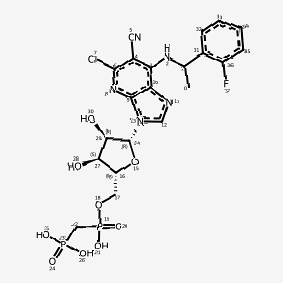 CC(Nc1c(C#N)c(Cl)nc2c1ncn2[C@@H]1O[C@H](COP(=O)(O)CP(=O)(O)O)[C@@H](O)[C@H]1O)c1ccccc1F